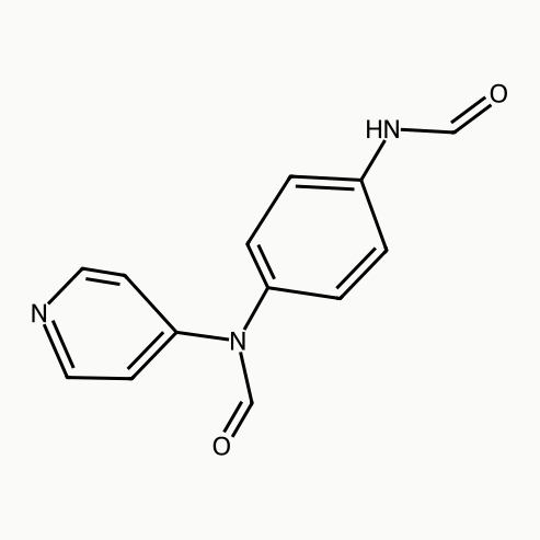 O=CNc1ccc(N(C=O)c2ccncc2)cc1